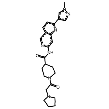 Cn1cc(-c2ccc3cnc(NC(=O)C4CCN(C(=O)CN5CCCC5)CC4)cc3n2)cn1